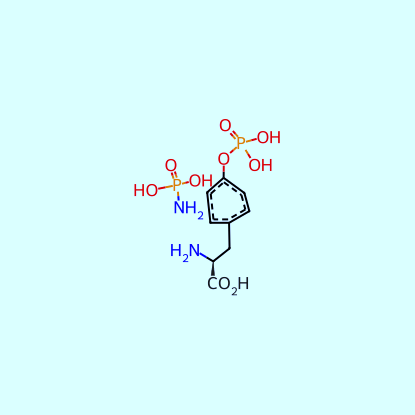 NP(=O)(O)O.N[C@@H](Cc1ccc(OP(=O)(O)O)cc1)C(=O)O